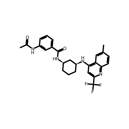 CC(=O)Nc1cccc(C(=O)N[C@@H]2CCC[C@H](Nc3cc(C(F)(F)F)nc4ccc(C)cc34)C2)c1